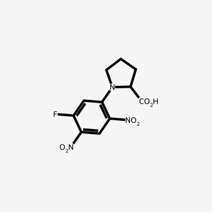 O=C(O)C1CCCN1c1cc(F)c([N+](=O)[O-])cc1[N+](=O)[O-]